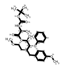 COCC[C@H](Cc1ccc(OC)cc1)[C@@H](Oc1ccccc1)[C@H](C)OC(=O)[C@H](C)NC(=O)OC(C)(C)C